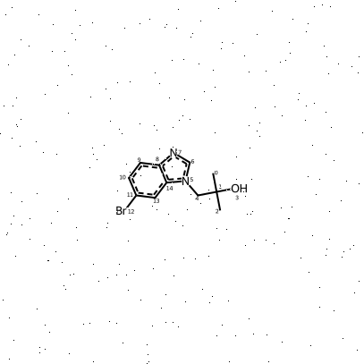 CC(C)(O)Cn1cnc2ccc(Br)cc21